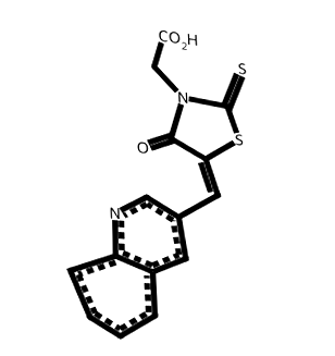 O=C(O)CN1C(=O)/C(=C\c2cnc3ccccc3c2)SC1=S